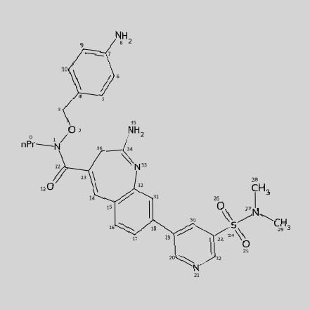 CCCN(OCc1ccc(N)cc1)C(=O)C1=Cc2ccc(-c3cncc(S(=O)(=O)N(C)C)c3)cc2N=C(N)C1